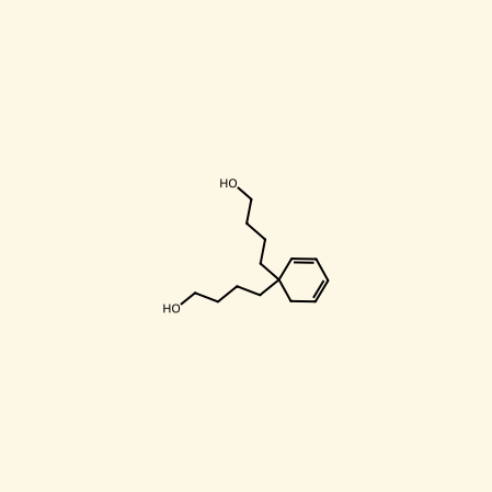 OCCCCC1(CCCCO)C=CC=CC1